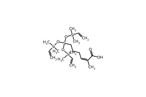 C=C[Si](C)(C)O[Si](CCCC=C(C)C(=O)O)(O[Si](C)(C)C=C)O[Si](C)(C)C=C